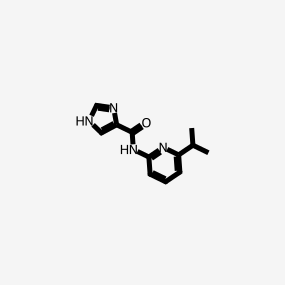 CC(C)c1cccc(NC(=O)c2c[nH]cn2)n1